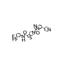 CN1CC=C(c2ccc3ncc(C(=O)N4CCc5c(C(=O)Nc6cccc(C(F)(F)F)c6)csc5C4)n3c2)CC1